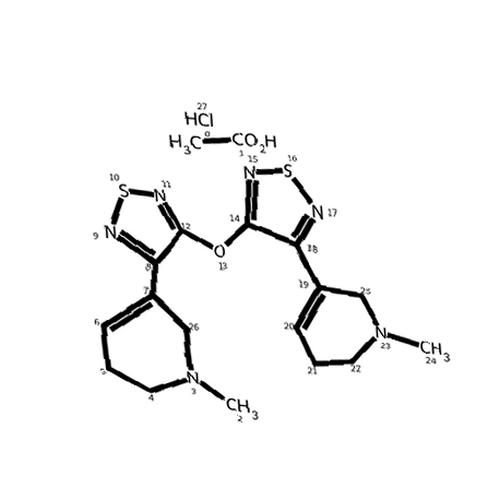 CC(=O)O.CN1CCC=C(c2nsnc2Oc2nsnc2C2=CCCN(C)C2)C1.Cl